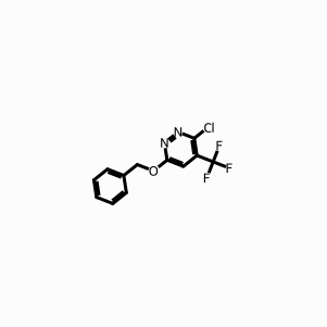 FC(F)(F)c1cc(OCc2ccccc2)nnc1Cl